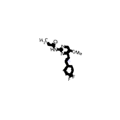 C=CC(=O)Nc1ncc(OC)c(/C=C/C2CCC(F)(F)CC2)n1